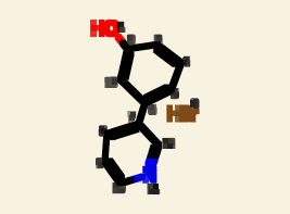 Br.Oc1cccc(-c2cccnc2)c1